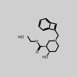 CCOC(=O)[C@H]1CN(CC2=Cc3ccccc32)CC[C@H]1O.Cl